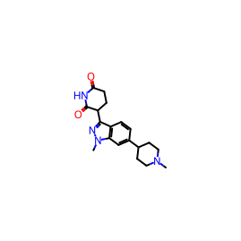 CN1CCC(c2ccc3c(C4CCC(=O)NC4=O)nn(C)c3c2)CC1